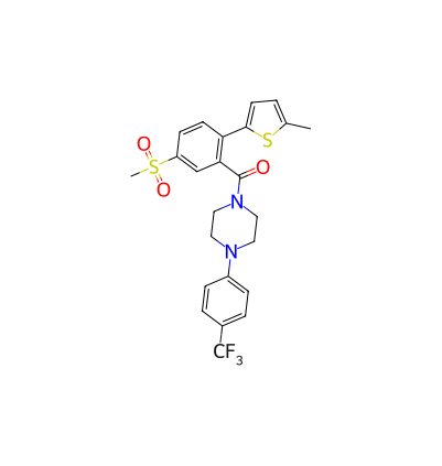 Cc1ccc(-c2ccc(S(C)(=O)=O)cc2C(=O)N2CCN(c3ccc(C(F)(F)F)cc3)CC2)s1